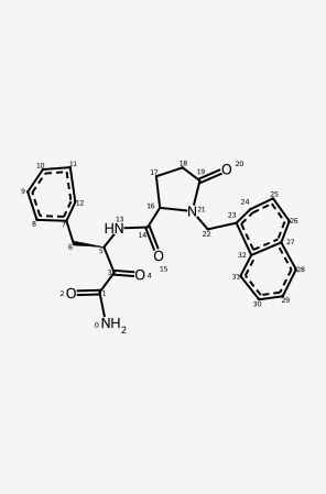 NC(=O)C(=O)[C@@H](Cc1ccccc1)NC(=O)C1CCC(=O)N1Cc1cccc2ccccc12